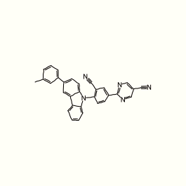 Cc1cccc(-c2ccc3c(c2)c2ccccc2n3-c2ccc(-c3ncc(C#N)cn3)cc2C#N)c1